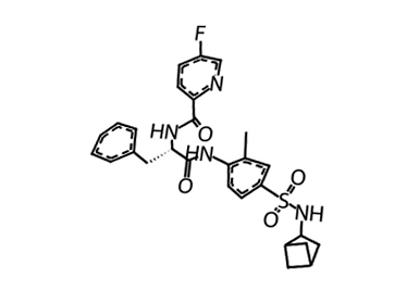 Cc1cc(S(=O)(=O)NC2CC3CC2C3)ccc1NC(=O)[C@H](Cc1ccccc1)NC(=O)c1ccc(F)cn1